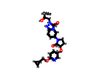 COC(=O)Cn1nc2ccc(N3CC[C@@H](Oc4ccc(OCC5CC5)nc4)C3=O)cn2c1=O